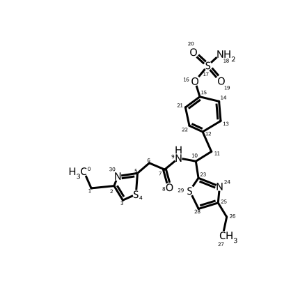 CCc1csc(CC(=O)NC(Cc2ccc(OS(N)(=O)=O)cc2)c2nc(CC)cs2)n1